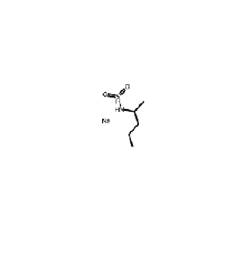 CCCC(C)N[SH](=O)=O.[Na]